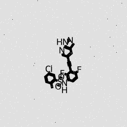 Cc1ccc(Cl)cc1S(=O)(=O)Nc1ccc(F)c(C#Cc2cnc3[nH]ncc3c2)c1F